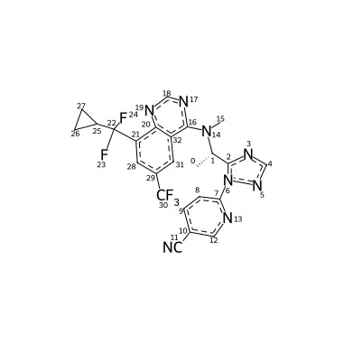 C[C@@H](c1ncnn1-c1ccc(C#N)cn1)N(C)c1ncnc2c(C(F)(F)C3CC3)cc(C(F)(F)F)cc12